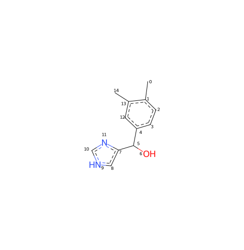 Cc1ccc(C(O)c2c[nH]cn2)cc1C